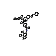 COC(=O)C[C@H](Cc1ccc(OCc2ccccc2)cc1)NC(=O)C1CCN(C(=O)/C=C/c2cc3ccsc3c(Cl)c2Cl)CC1